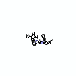 CCCN(C)c1ccc(/C=C/c2ccc(/C=C/C3=C(C#N)C(=C(C#N)C#N)CC3(C)c3ccccc3)s2)c(OCc2ccccc2)c1